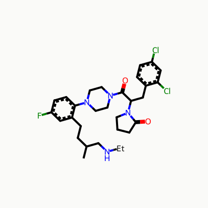 CCNCC(C)CCc1cc(F)ccc1N1CCN(C(=O)C(Cc2ccc(Cl)cc2Cl)N2CCCC2=O)CC1